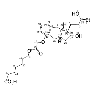 CC[C@H](O)CC[C@@H]1[C@H]2Cc3cccc(OCC(=O)OCCCCCCC(=O)O)c3C[C@H]2C[C@H]1O